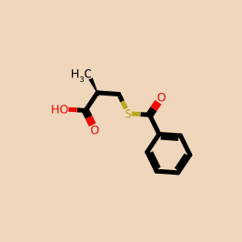 C[C@@H](CSC(=O)c1ccccc1)C(=O)O